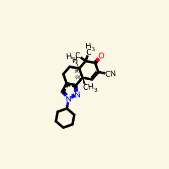 CC1(C)C(=O)C(C#N)=C[C@]2(C)c3nn(C4CCCCC4)cc3CC[C@@H]12